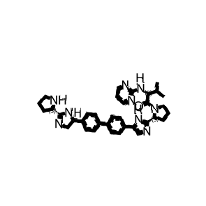 CC(C)[C@H](Nc1ncccn1)C(=O)N1CCC[C@H]1c1ncc(-c2ccc(-c3ccc(C4CN=C([C@@H]5CCCN5)N4)cc3)cc2)[nH]1